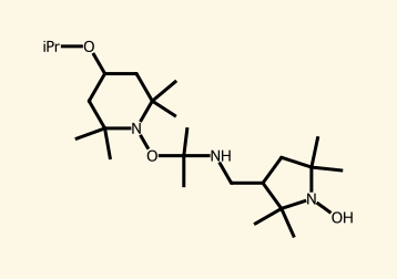 CC(C)OC1CC(C)(C)N(OC(C)(C)NCC2CC(C)(C)N(O)C2(C)C)C(C)(C)C1